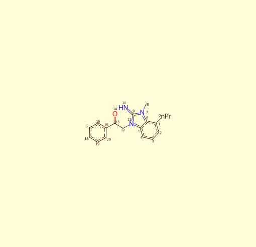 CCCc1cccc2c1n(C)c(=N)n2CC(=O)c1ccccc1